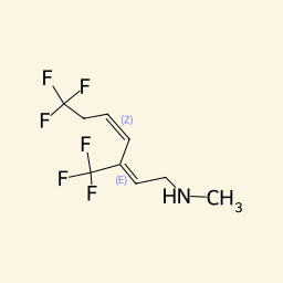 CNC/C=C(\C=C/CC(F)(F)F)C(F)(F)F